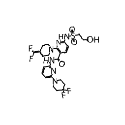 O=C(Nc1cccc(N2CCC(F)(F)CC2)n1)c1ccc(NS(=O)(=O)CCO)nc1N1CCC(=C(F)F)CC1